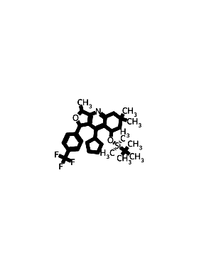 CC1OC(c2ccc(C(F)(F)F)cc2)c2c1nc1c(c2C2CCCC2)C(O[Si](C)(C)C(C)(C)C)CC(C)(C)C1